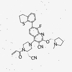 C=CC(=O)N1CCN(c2c(C#N)c(OC[C@@H]3CCCN3C)nc3c(F)c(-c4cccc5c4SCCC5)ccc23)C[C@@H]1CC#N